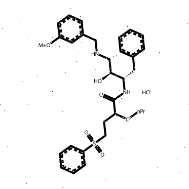 CCCOC(CCS(=O)(=O)c1ccccc1)C(=O)N[C@@H](Cc1ccccc1)[C@@H](O)CNCc1cccc(OC)c1.Cl